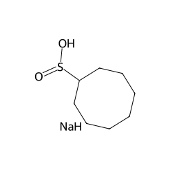 O=S(O)C1CCCCCCC1.[NaH]